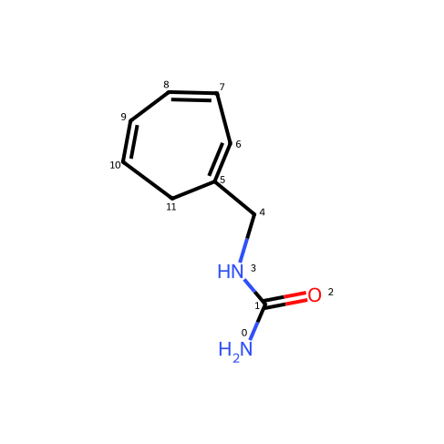 NC(=O)NCC1=CC=CC=CC1